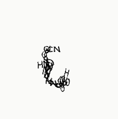 N#Cc1ccc(OC2CCC(C(=O)Nc3cnc(N4CCC(CN5CCN(c6ccc7c(c6)C(=O)N(C6CCC(=O)NC6=O)C7=O)CC5)CC4)cn3)CC2)cc1Cl